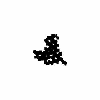 CCOc1cc(CC)cc(C(Nc2ccc3c(N)nccc3c2)c2nc(-c3cc(C)ccc3C(=O)OC)c[nH]2)c1F